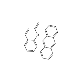 O=c1ccc2ccccc2o1.c1ccc2cc3ccccc3cc2c1